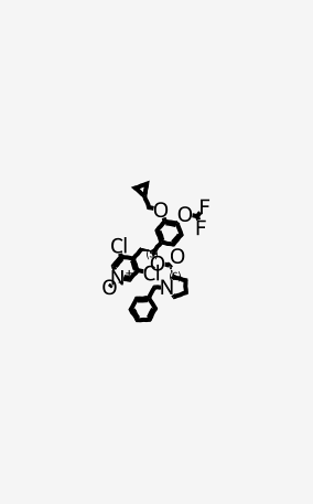 O=C(O[C@@H](Cc1c(Cl)c[n+]([O-])cc1Cl)c1ccc(OC(F)F)c(OCC2CC2)c1)[C@@H]1CCCN1Cc1ccccc1